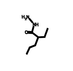 CCCC(CC)C(=O)NN